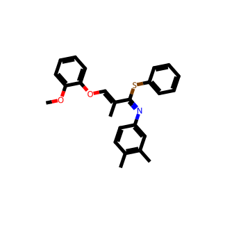 COc1ccccc1O/C=C(C)/C(=N\c1ccc(C)c(C)c1)Sc1ccccc1